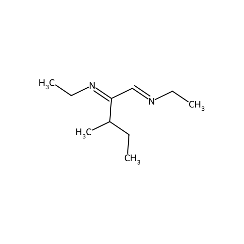 CC/N=C/C(=N/CC)C(C)CC